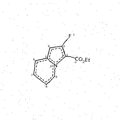 CCOC(=O)c1c(F)cc2ccccn12